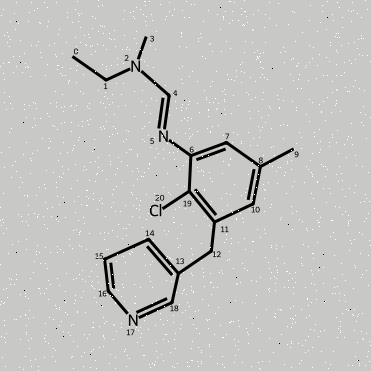 CCN(C)C=Nc1cc(C)cc(Cc2cccnc2)c1Cl